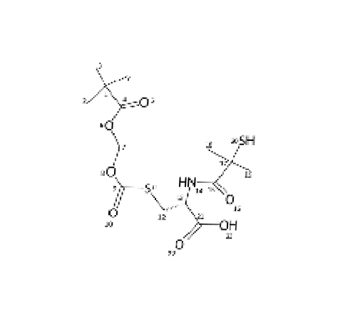 CC(C)(C)C(=O)OCOC(=O)SC[C@H](NC(=O)C(C)(C)S)C(=O)O